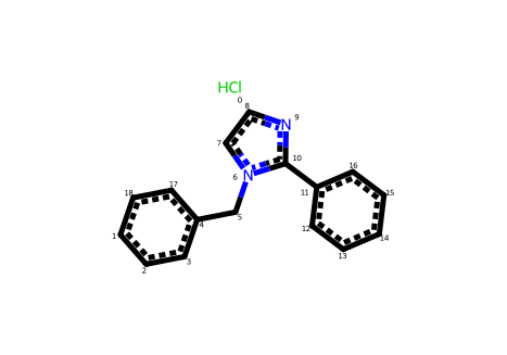 Cl.c1ccc(Cn2ccnc2-c2ccccc2)cc1